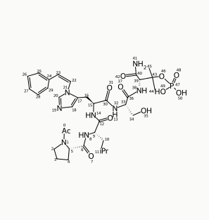 CC(=O)N1CCC[C@H]1C(=O)N[C@@H](CC(C)C)C(=O)N[C@@H](Cc1cncn1/C=C\c1ccccc1)C(=O)N[C@@H](CO)C(=O)N[C@H](C(N)=O)C(C)(C)OP(=O)(O)O